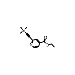 CCOC(=O)c1ccnc(C#C[Si](C)(C)C)c1